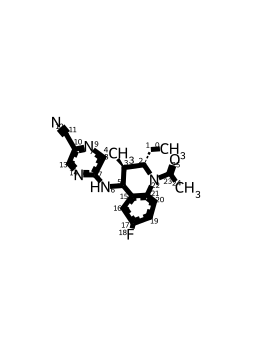 CC[C@H]1[C@H](C)C(Nc2cnc(C#N)cn2)c2cc(F)ccc2N1C(C)=O